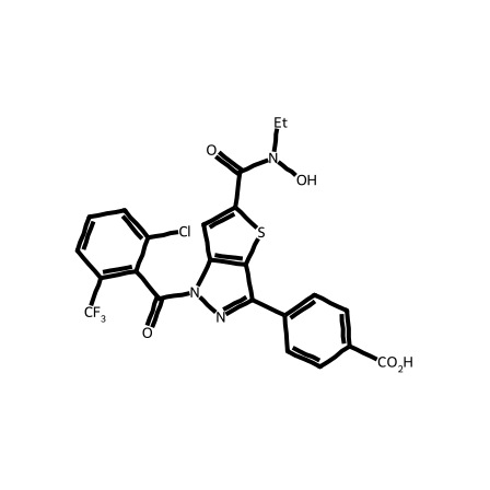 CCN(O)C(=O)c1cc2c(s1)c(-c1ccc(C(=O)O)cc1)nn2C(=O)c1c(Cl)cccc1C(F)(F)F